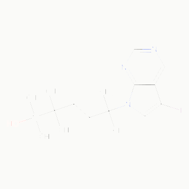 CC(C)(CCC(C)(C)[Si](C)(C)O)n1cc(I)c2cncnc21